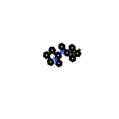 Cc1cccc([Si](c2ccccc2)(c2ccccc2)c2ccc3c(c2)c2ccccc2n3-c2cc3c4ccccc4c4ccccc4c4ccccc4n4c5ccccc5c(c2)c34)c1